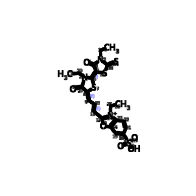 CCN1C(=O)/C(=c2/s/c(=C\C=C\c3oc4cc(S(=O)(=O)O)ccc4[n+]3CC)c(=O)n2CC)SC1=S